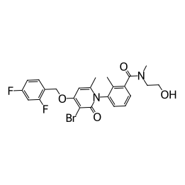 Cc1c(C(=O)N(C)CCO)cccc1-n1c(C)cc(OCc2ccc(F)cc2F)c(Br)c1=O